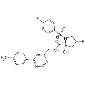 CC1(C(=O)NCc2cc(-c3ccc(C(F)(F)F)cc3)ncn2)CC(F)CN1S(=O)(=O)c1ccc(F)cc1